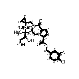 CC(C)([C@@H](O)CO)S(=O)(=O)C1(CN2CCn3c(cnc3C(=O)NCc3ccc(Cl)c(F)c3)C2=O)CC1